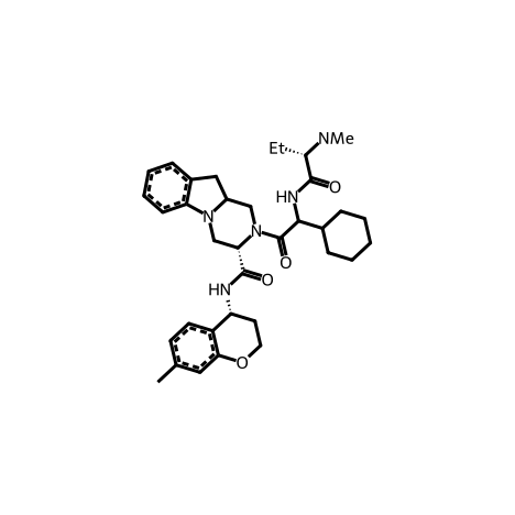 CC[C@H](NC)C(=O)NC(C(=O)N1CC2Cc3ccccc3N2C[C@H]1C(=O)N[C@@H]1CCOc2cc(C)ccc21)C1CCCCC1